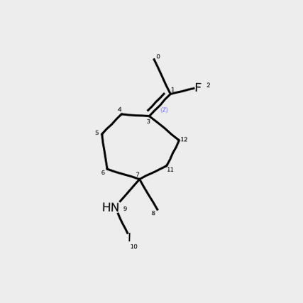 C/C(F)=C1\CCCC(C)(NI)CC1